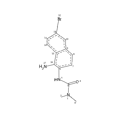 CN(C)C(=O)Nc1ccc2cc(Br)ccc2c1N